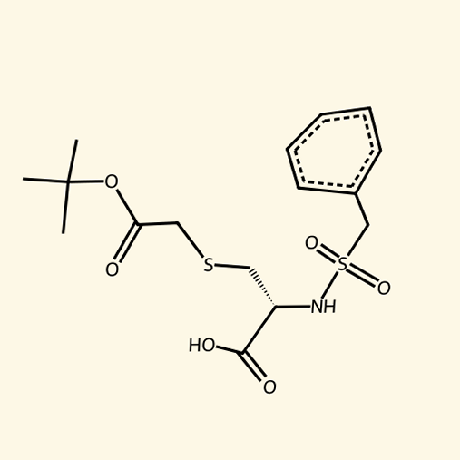 CC(C)(C)OC(=O)CSC[C@H](NS(=O)(=O)Cc1ccccc1)C(=O)O